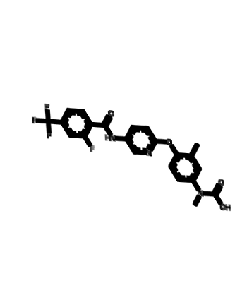 Cc1cc(N(C)C(=O)O)ccc1Oc1ccc(NC(=O)c2ccc(C(F)(F)F)cc2F)cn1